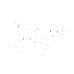 OCc1ccc(Oc2ccc3cc(-c4cccc5ccccc45)ccc3c2-c2c(Oc3ccc(CO)c(-c4cccc5ccccc45)c3)ccc3cc(-c4cccc5ccccc45)ccc23)cc1-c1cccc2ccccc12